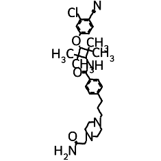 CC1(C)[C@H](NC(=O)c2ccc(CCCN3CCN(CC(N)=O)CC3)cc2)C(C)(C)[C@H]1Oc1ccc(C#N)c(Cl)c1